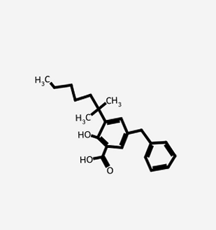 CCCCCC(C)(C)c1cc(Cc2ccccc2)cc(C(=O)O)c1O